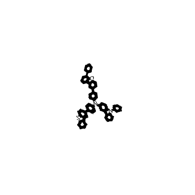 c1ccc(-c2cccc3c2oc2ccc(-c4ccc(N(c5ccc(-c6ccc7sc8ccccc8c7c6)cc5)c5ccc6c(c5)c5ccccc5n6-c5ccccc5)cc4)cc23)cc1